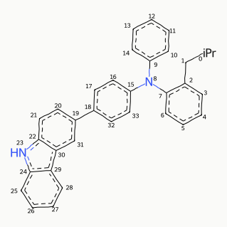 CC(C)Cc1ccccc1N(c1ccccc1)c1ccc(-c2ccc3[nH]c4ccccc4c3c2)cc1